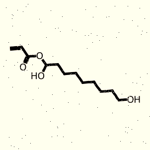 C=CC(=O)OC(O)CCCCCCCCO